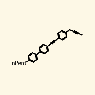 CC#CCc1ccc(C#Cc2ccc(-c3ccc(CCCCC)cc3)cc2)cc1